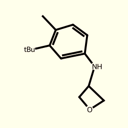 Cc1ccc(NC2COC2)cc1C(C)(C)C